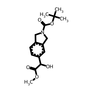 COC(=O)C(O)c1ccc2c(c1)CN(C(=O)OC(C)(C)C)C2